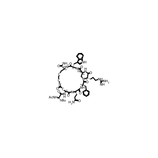 CCCC[C@H](NC(C)=O)C(=O)N[C@H]1CC(=O)NCCCC[C@@H](C(N)=O)NC(=O)[C@H](Cc2c[nH]c3ccccc23)NC(=O)[C@H]2CN(C(=O)[C@@H](Cc3ccccc3)NC(=O)[C@H](CCC(N)=O)NC1=O)[C@@H](CCCNC(=N)N)C(=O)N2